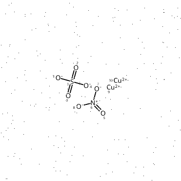 O=S(=O)([O-])[O-].O=[N+]([O-])[O-].[Cu+2].[Cu+2]